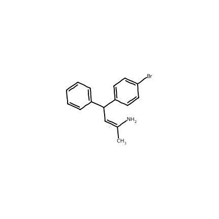 C/C(N)=C/C(c1ccccc1)c1ccc(Br)cc1